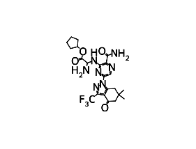 CC1(C)CC(=O)c2c(C(F)(F)F)nn(-c3cnc(C(N)=O)c(NC(N)C(=O)OC4CCCC4)n3)c2C1